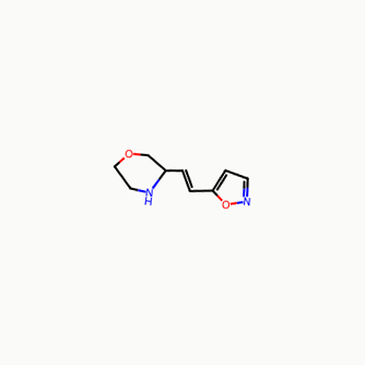 C(=CC1COCCN1)c1ccno1